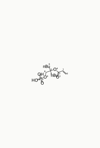 C=CC(=O)OC(CCCC)(CCCC)COP(=O)(O)O